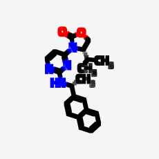 CC(C)[C@H]1COC(=O)N1c1ccnc(N[C@H](C)c2ccc3ccccc3c2)n1